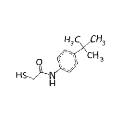 CC(C)(C)c1ccc(NC(=O)CS)cc1